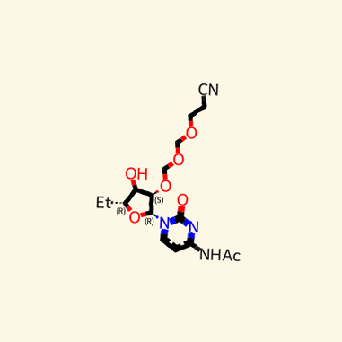 CC[C@H]1O[C@@H](n2ccc(NC(C)=O)nc2=O)[C@@H](OCOCOCCC#N)C1O